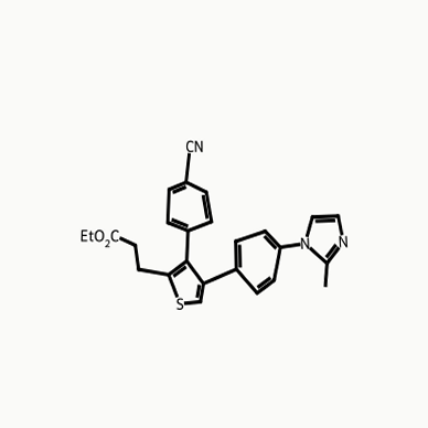 CCOC(=O)CCc1scc(-c2ccc(-n3ccnc3C)cc2)c1-c1ccc(C#N)cc1